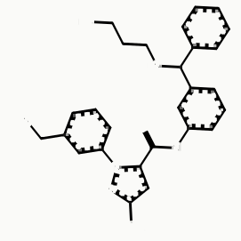 Cc1cc(C(=O)Nc2cccc(C(NCCCO)c3ccccc3)c2)n(-c2cccc(CN)c2)n1